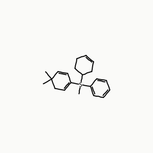 CC1(C)C=CC(S(C)(c2ccccc2)C2CC=CCC2)=CC1